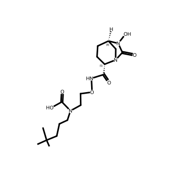 CC(C)(C)CCCN(CCONC(=O)[C@@H]1CC[C@@H]2CN1C(=O)N2O)C(=O)O